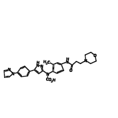 Cc1cc(NC(=O)CCN2CCOCC2)ccc1N(C(=O)O)c1cc(-c2ccc(-n3cccn3)cc2)[nH]n1